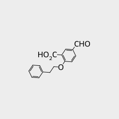 O=Cc1ccc(OCCc2ccccc2)c(C(=O)O)c1